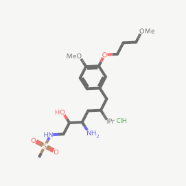 COCCCOc1cc(CC(CC(N)C(O)CNS(C)(=O)=O)C(C)C)ccc1OC.Cl